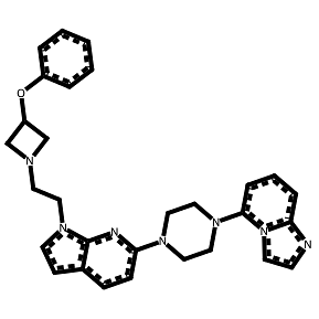 c1ccc(OC2CN(CCn3ccc4ccc(N5CCN(c6cccc7nccn67)CC5)nc43)C2)cc1